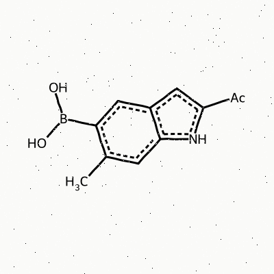 CC(=O)c1cc2cc(B(O)O)c(C)cc2[nH]1